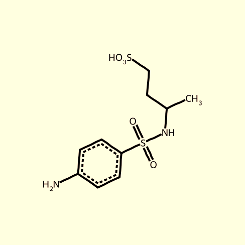 CC(CCS(=O)(=O)O)NS(=O)(=O)c1ccc(N)cc1